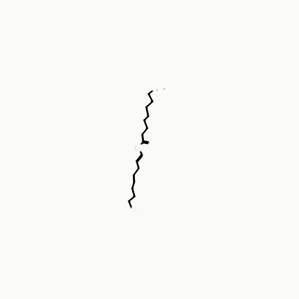 CCCCCCCCCCCCCCCCC=CNC(=O)CCCCCCCCCCCCCCCCC